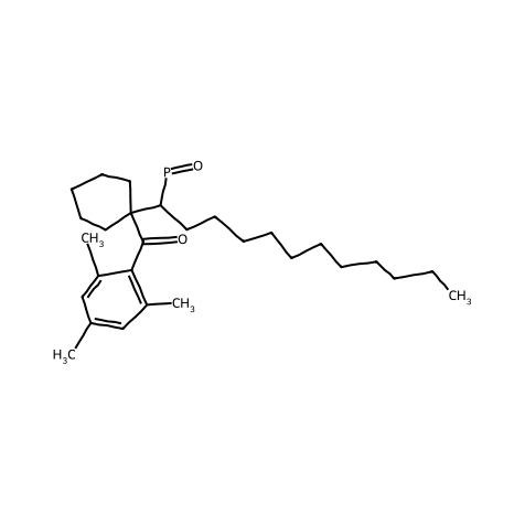 CCCCCCCCCCCC(P=O)C1(C(=O)c2c(C)cc(C)cc2C)CCCCC1